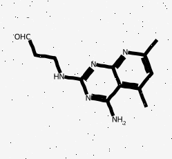 Cc1cc(C)c2c(N)nc(NCCC=O)nc2n1